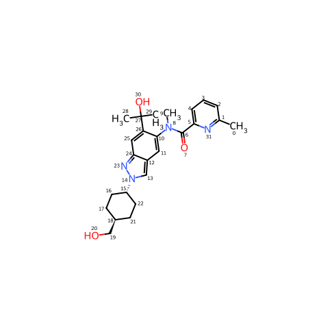 Cc1cccc(C(=O)N(C)c2cc3cn([C@H]4CC[C@H](CO)CC4)nc3cc2C(C)(C)O)n1